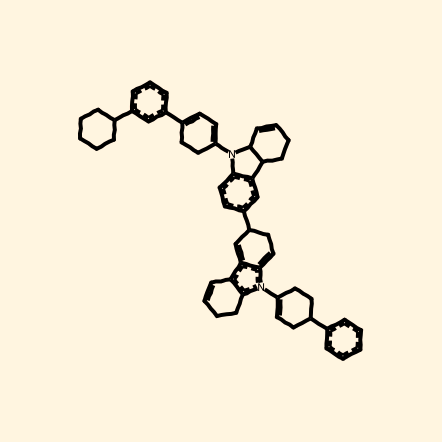 C1=Cc2c(n(C3=CCC(c4ccccc4)CC3)c3c2=CC(c2ccc4c(c2)C2CCC=CC2N4C2=CC=C(c4cccc(C5CCCCC5)c4)CC2)CC=3)CC1